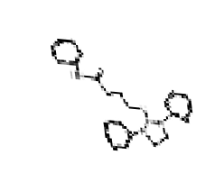 S=C(CCCOP1N(c2ccccc2)CCN1c1ccccc1)Nc1ccccc1